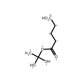 CC(O)(O)OC(=O)CCCC(=O)O